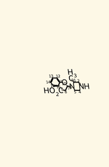 CC1CNCCN1C(CC(=O)O)Oc1ccccc1